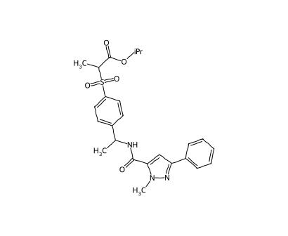 CC(C)OC(=O)C(C)S(=O)(=O)c1ccc(C(C)NC(=O)c2cc(-c3ccccc3)nn2C)cc1